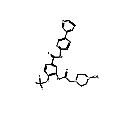 CN1CCN(CC(=O)Nc2cc(C(=O)Nc3ccc(-c4cccnc4)cn3)ccc2OC(F)(F)F)CC1